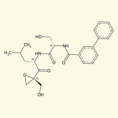 CC(C)C[C@H](NC(=O)[C@H](CO)NC(=O)c1cccc(-c2ccccc2)c1)C(=O)[C@]1(CO)CO1